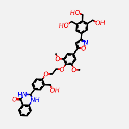 COc1cc(-c2cc(-c3cc(CO)c(CO)c(CO)c3)no2)cc(OC)c1OCCOc1ccc(C2NC(=O)c3ccccc3N2)cc1CO